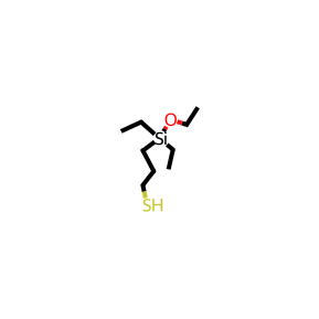 CCO[Si](CC)(CC)CCCS